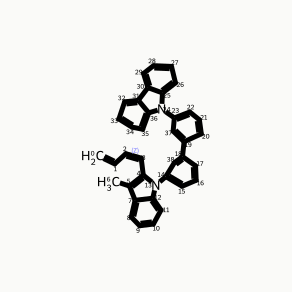 C=C/C=C\c1c(C)c2ccccc2n1-c1cccc(-c2cccc(-n3c4ccccc4c4ccccc43)c2)c1